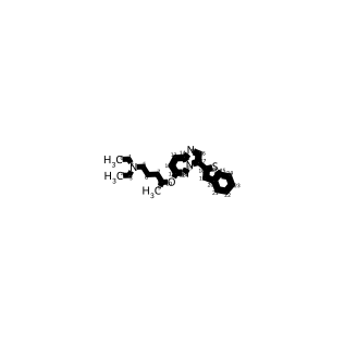 CCN(CC)CCCC(C)Oc1ccc2ncc(-c3cc4ccccc4s3)n2n1